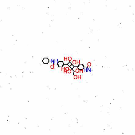 CNC(=O)c1ccc(C2[C@]3(O)C(O)C(c4ccc(C(=O)NC5CCCCC5)cc4)[C@]3(O)[C@]2(O)[C@H](O)CO)cc1